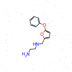 NCCNCc1ccc(Oc2ccccc2)o1